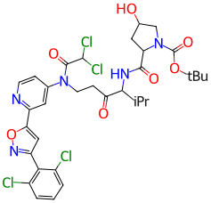 CC(C)C(NC(=O)C1CC(O)CN1C(=O)OC(C)(C)C)C(=O)CCN(C(=O)C(Cl)Cl)c1ccnc(-c2cc(-c3c(Cl)cccc3Cl)no2)c1